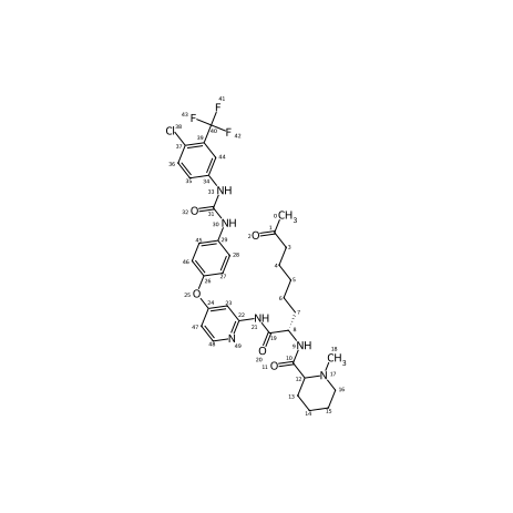 CC(=O)CCCCC[C@H](NC(=O)C1CCCCN1C)C(=O)Nc1cc(Oc2ccc(NC(=O)Nc3ccc(Cl)c(C(F)(F)F)c3)cc2)ccn1